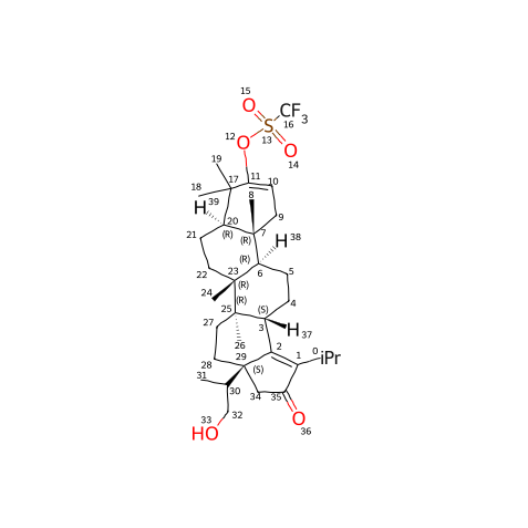 CC(C)C1=C2[C@H]3CC[C@@H]4[C@@]5(C)CC=C(OS(=O)(=O)C(F)(F)F)C(C)(C)[C@@H]5CC[C@@]4(C)[C@]3(C)CC[C@@]2(C(C)CO)CC1=O